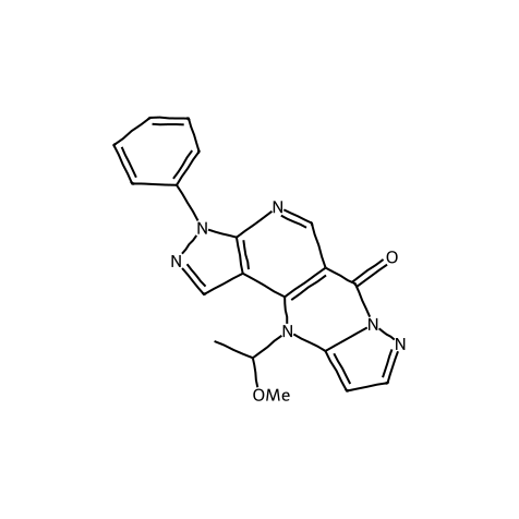 COC(C)n1c2c(cnc3c2cnn3-c2ccccc2)c(=O)n2nccc12